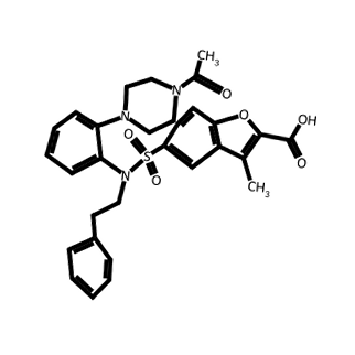 CC(=O)N1CCN(c2ccccc2N(CCc2ccccc2)S(=O)(=O)c2ccc3oc(C(=O)O)c(C)c3c2)CC1